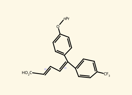 CCCOc1ccc(/C(=C\C=C\C(=O)O)c2ccc(C(F)(F)F)cc2)cc1